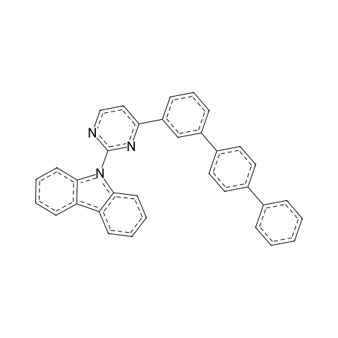 c1ccc(-c2ccc(-c3cccc(-c4ccnc(-n5c6ccccc6c6ccccc65)n4)c3)cc2)cc1